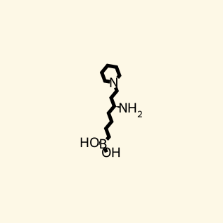 N[C@H](CCCCB(O)O)CCN1CCCCC1